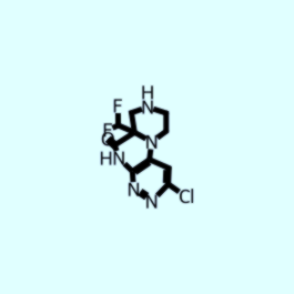 O=C1Nc2nnc(Cl)cc2N2CCNCC12C(F)F